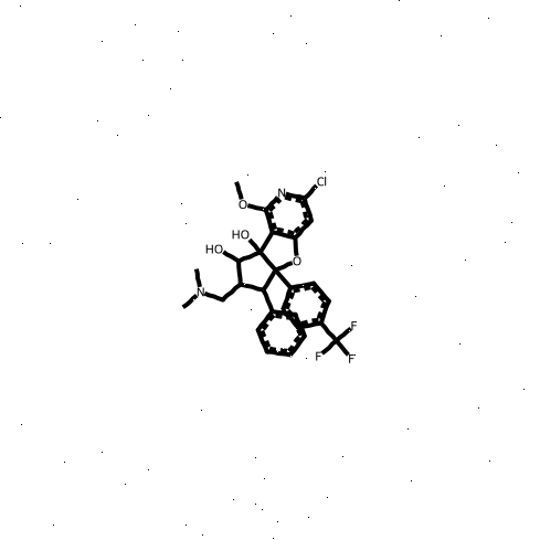 COc1nc(Cl)cc2c1C1(O)C(O)C(CN(C)C)C(c3ccccc3)C1(c1ccc(C(F)(F)F)cc1)O2